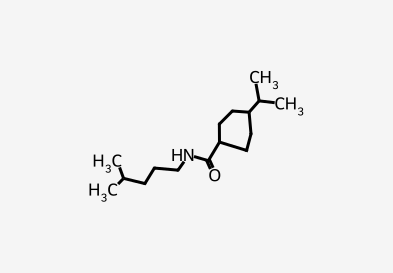 CC(C)CCCNC(=O)C1CCC(C(C)C)CC1